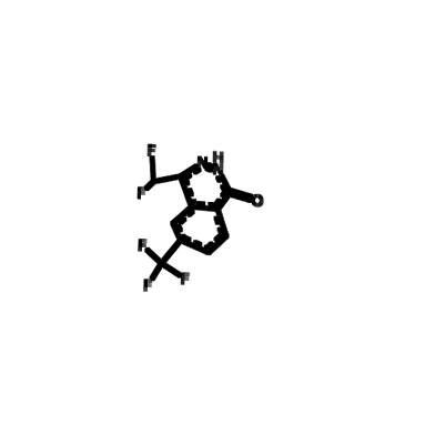 O=c1[nH]nc(C(F)F)c2cc(C(F)(F)F)ccc12